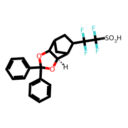 O=S(=O)(O)C(F)(F)C(F)(F)C1CC2CC1[C@H]1OC(c3ccccc3)(c3ccccc3)OC21